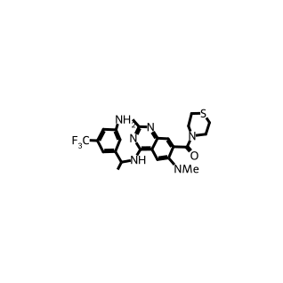 CNc1cc2c(NC(C)c3cc(N)cc(C(F)(F)F)c3)nc(C)nc2cc1C(=O)N1CCSCC1